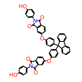 O=C1c2ccc(Oc3ccc(C4(c5ccc(Oc6ccc7c(c6)C(=O)N(c6ccc(O)cc6)C7=O)cc5)c5ccccc5-c5ccccc54)cc3)cc2C(=O)N1c1ccc(O)cc1